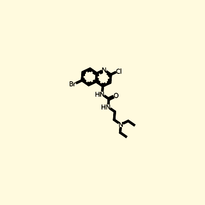 CCN(CC)CCNC(=O)Nc1cc(Cl)nc2ccc(Br)cc12